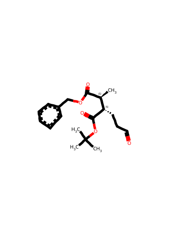 C[C@H](C(=O)OCc1ccccc1)[C@H](CCC=O)C(=O)OC(C)(C)C